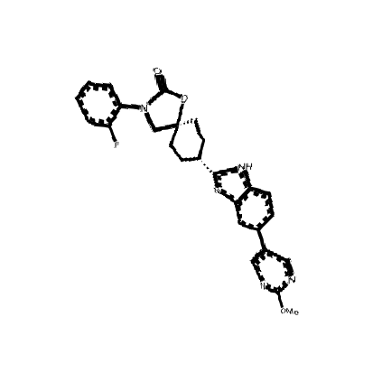 COc1ncc(-c2ccc3[nH]c([C@H]4CC[C@]5(CC4)CN(c4ccccc4F)C(=O)O5)nc3c2)cn1